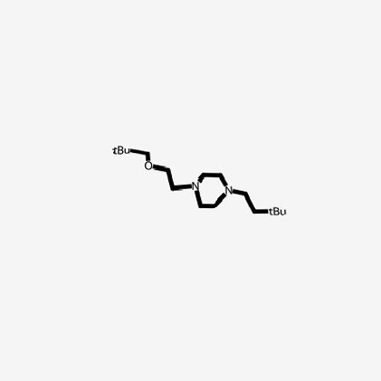 CC(C)(C)CCN1CCN(CCOCC(C)(C)C)CC1